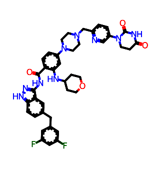 O=C1CCN(c2ccc(CN3CCN(c4ccc(C(=O)Nc5n[nH]c6ccc(Cc7cc(F)cc(F)c7)cc56)c(NC5CCOCC5)c4)CC3)nc2)C(=O)N1